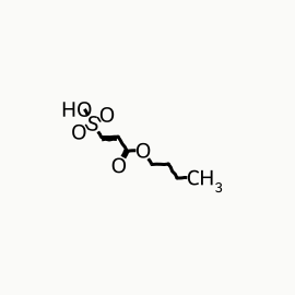 CCCCOC(=O)C=CS(=O)(=O)O